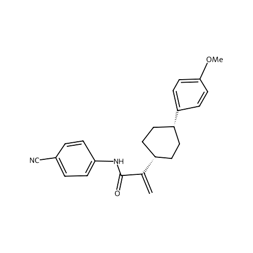 C=C(C(=O)Nc1ccc(C#N)cc1)[C@H]1CC[C@@H](c2ccc(OC)cc2)CC1